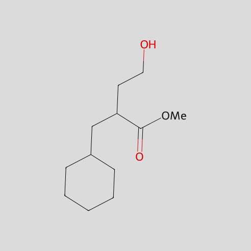 COC(=O)C(CCO)CC1CCCCC1